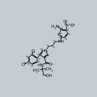 CC(C)(CO)NC(=O)c1cn(CCCNc2ccc([N+](=O)[O-])c(N)n2)cc1-c1ccc(Cl)cc1Cl